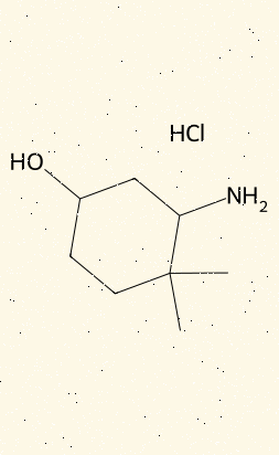 CC1(C)CCC(O)CC1N.Cl